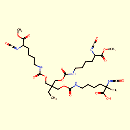 CCC(COC(=O)NCCCCC(N=C=O)C(=O)OC)(COC(=O)NCCCCC(N=C=O)C(=O)OC)COC(=O)NCCCCC(C)(N=C=O)C(=O)O